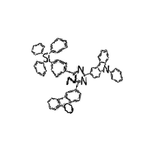 c1ccc(-n2c3ccccc3c3cc(-c4nc(-c5ccc([Si](c6ccccc6)(c6ccccc6)c6ccccc6)cc5)nc(-c5ccc6oc7ccccc7c6c5)n4)ccc32)cc1